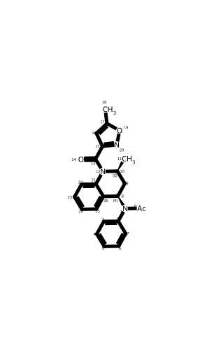 CC(=O)N(c1ccccc1)[C@@H]1C[C@H](C)N(C(=O)c2cc(C)on2)c2ccccc21